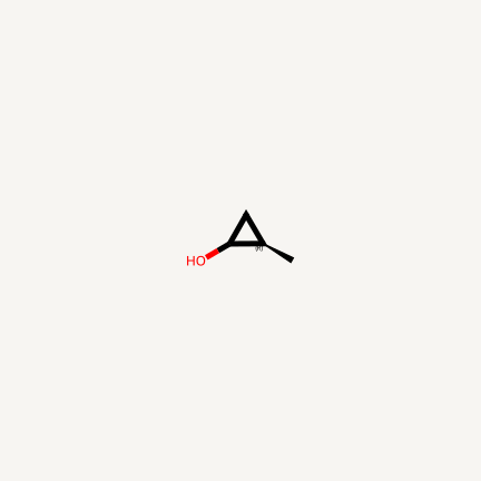 C[C@@H]1CC1O